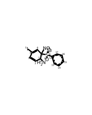 NC1C=CC(I)=CC1([N+](=O)[O-])S(=O)(=O)c1ccccc1